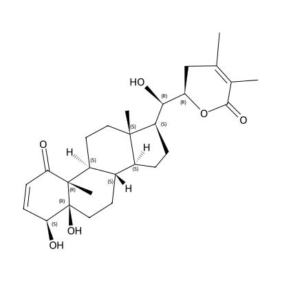 CC1=C(C)C(=O)O[C@@H]([C@H](O)[C@H]2CC[C@H]3[C@@H]4CC[C@]5(O)[C@@H](O)C=CC(=O)[C@]5(C)[C@H]4CC[C@]23C)C1